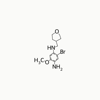 COc1cc(NCC2CCOCC2)c(Br)cc1N